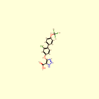 O=C(O)c1[nH]nnc1Oc1ccc(-c2ccc(OC(F)(F)F)cc2)c(Cl)c1